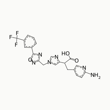 Nc1ccc(CC(C(=O)O)c2cn(Cc3noc(-c4cccc(C(F)(F)F)c4)n3)cn2)cn1